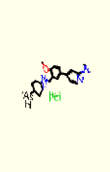 COc1ccc(-c2ccnc(N(C)C)c2)cc1CNC1CCC([AsH]C)CC1.Cl.Cl